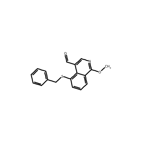 COc1ncc(C=O)c2c(SCc3ccccc3)cccc12